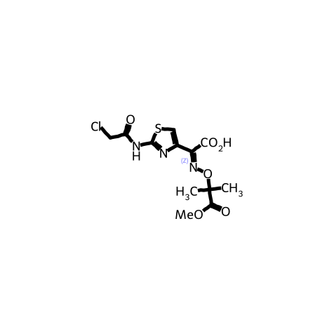 COC(=O)C(C)(C)O/N=C(\C(=O)O)c1csc(NC(=O)CCl)n1